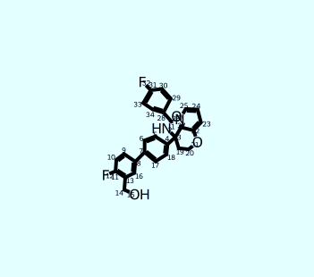 O=C(NC1(c2ccc(-c3ccc(F)c(CO)c3)cc2)CCOc2cccnc21)c1ccc(F)cc1